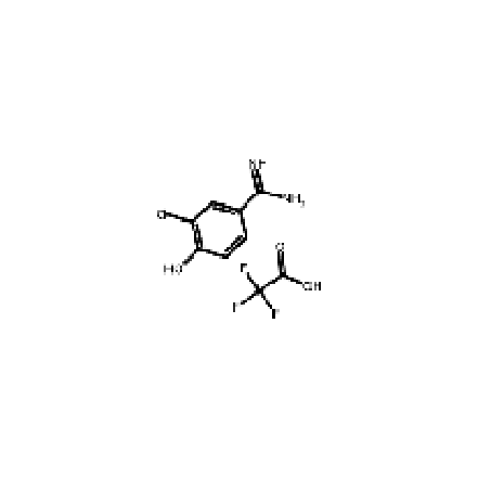 N=C(N)c1ccc(O)c(Cl)c1.O=C(O)C(F)(F)F